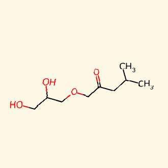 CC(C)CC(=O)COCC(O)CO